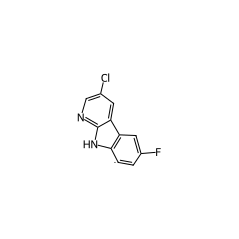 Fc1c[c]c2[nH]c3ncc(Cl)cc3c2c1